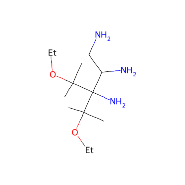 CCOC(C)(C)C(N)(C(N)CN)C(C)(C)OCC